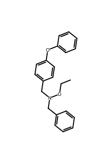 CCON(Cc1ccccc1)Cc1ccc(Oc2ccccc2)cc1